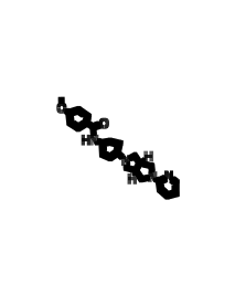 COc1ccc(C(=O)Nc2ccc(N3C[C@@H]4CN(c5ccccn5)C[C@H]4C3)cc2)cc1